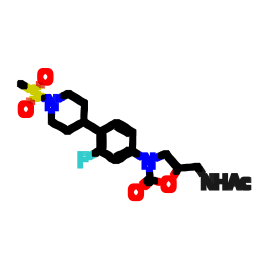 CC(=O)NCC1CN(c2ccc(C3CCN(S(C)(=O)=O)CC3)c(F)c2)C(=O)O1